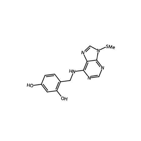 CSn1cnc2c(NCc3ccc(O)cc3O)ncnc21